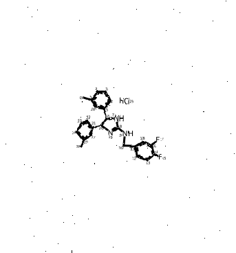 Cc1cccc([C@H]2NC(NCc3ccc(F)c(F)c3)=N[C@H]2c2cccc(C)c2)c1.Cl